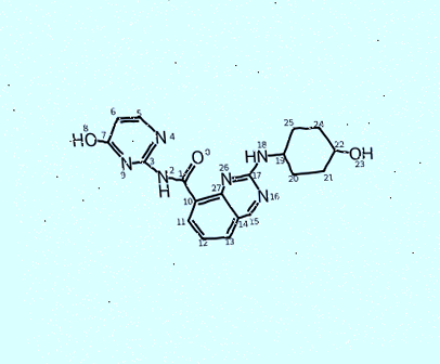 O=C(Nc1nccc(O)n1)c1cccc2cnc(NC3CCC(O)CC3)nc12